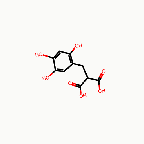 O=C(O)C(Cc1cc(O)c(O)cc1O)C(=O)O